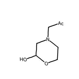 CC(=O)CN1CCOC(O)C1